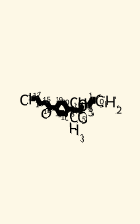 C=CCOC(=O)C(C)(C)c1ccc(C(=O)CCCCl)cc1